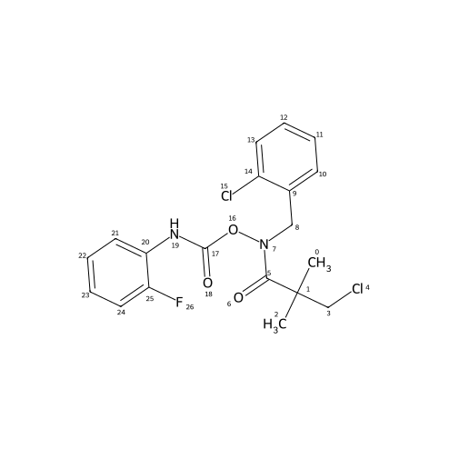 CC(C)(CCl)C(=O)N(Cc1ccccc1Cl)OC(=O)Nc1ccccc1F